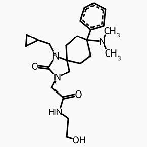 CN(C)C1(c2ccccc2)CCC2(CC1)CN(CC(=O)NCCO)C(=O)N2CC1CC1